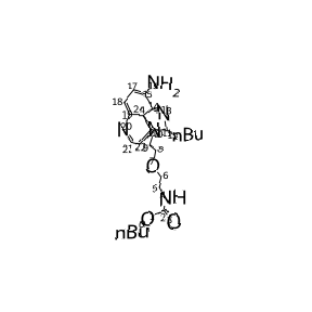 CCCCOC(=O)NCCOCCN1C(CCCC)N=C2C(N)=CC=C3N=CC=CC321